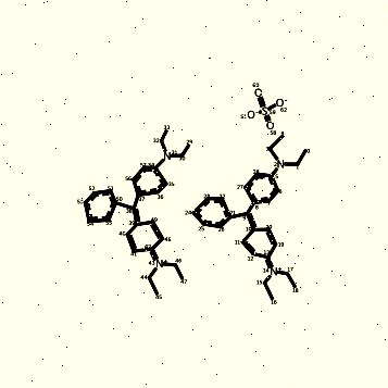 CCN(CC)c1ccc(C(=C2C=CC(=[N+](CC)CC)C=C2)c2ccccc2)cc1.CCN(CC)c1ccc(C(=C2C=CC(=[N+](CC)CC)C=C2)c2ccccc2)cc1.O=S(=O)([O-])[O-]